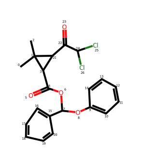 CC1(C)C(C(=O)OC(Oc2ccccc2)c2ccccc2)C1C(=O)C(Cl)Cl